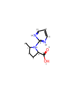 CC1CCC(C(=O)O)N1c1ncccn1